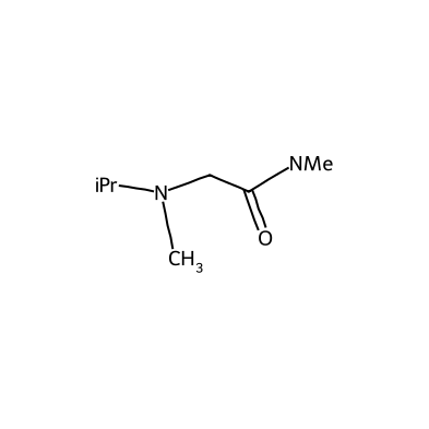 CNC(=O)CN(C)C(C)C